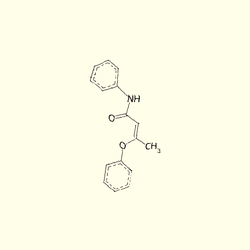 CC(=CC(=O)Nc1ccccc1)Oc1ccccc1